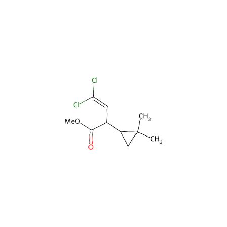 COC(=O)C(C=C(Cl)Cl)C1CC1(C)C